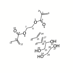 C=C(C)C(=O)OCCOC(=O)C(=C)C.C=CC.C=CC.OCCO.OCCO